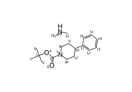 CC(C)(C)OC(=O)N1CCC(c2ccccc2)CC1.CNC